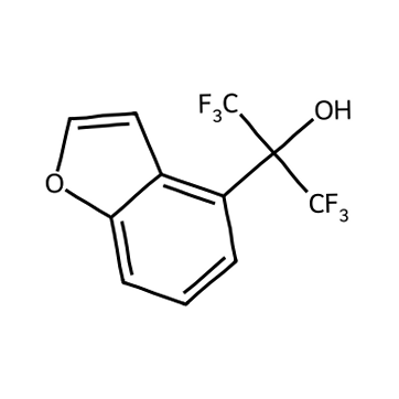 OC(c1cccc2occc12)(C(F)(F)F)C(F)(F)F